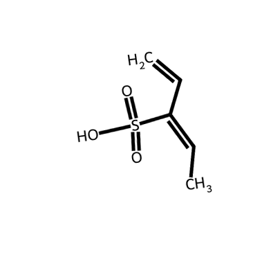 C=C/C(=C/C)S(=O)(=O)O